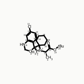 C[C@@H](NC1(C2(C)OCNc3cc(Cl)ccc32)CCCCC1)C(=O)OC(C)(C)C